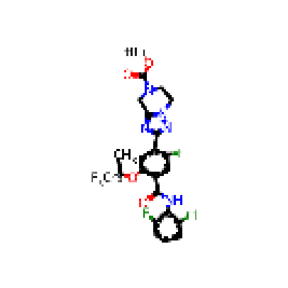 C[C@H](Oc1cc(-c2nc3n(n2)CCN(C(=O)OC(C)(C)C)C3)c(F)cc1C(=O)Nc1c(F)cccc1Cl)C(F)(F)F